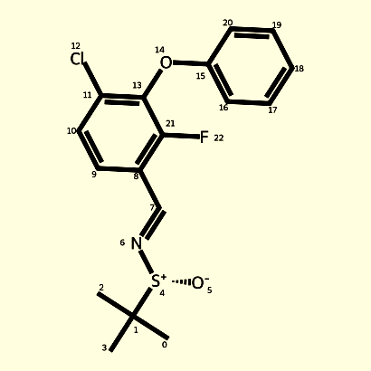 CC(C)(C)[S@@+]([O-])/N=C/c1ccc(Cl)c(Oc2ccccc2)c1F